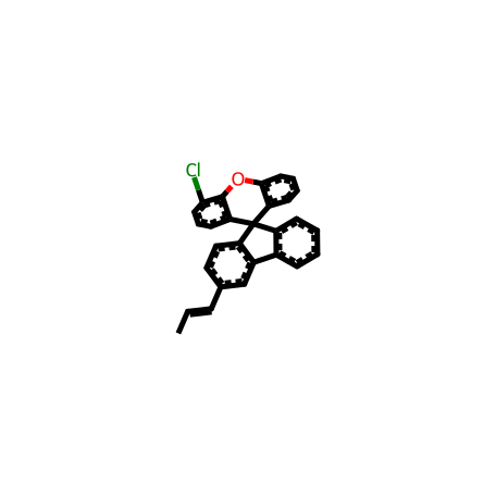 C/C=C/c1ccc2c(c1)-c1ccccc1C21c2ccccc2Oc2c(Cl)cccc21